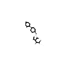 Cc1c(C#N)cnc2c1ccn2Cc1ccc(-c2ccccc2C#N)cc1